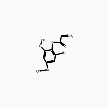 C=CC(=O)Oc1c(Br)cc(OC)cc1OC